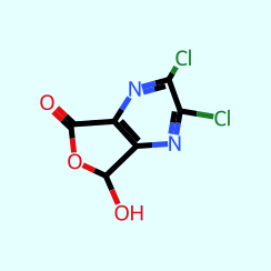 O=C1OC(O)c2nc(Cl)c(Cl)nc21